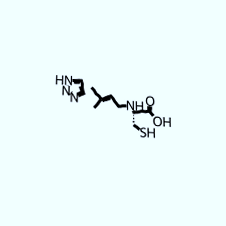 CC(C)=CCN[C@@H](CS)C(=O)O.c1c[nH]nn1